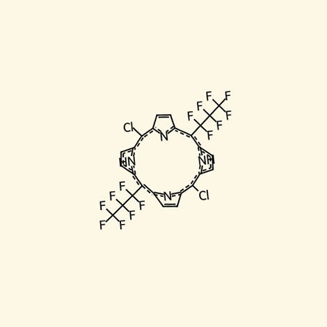 FC(F)(F)C(F)(F)C(F)(F)c1c2nc(c(Cl)c3ccc([nH]3)c(C(F)(F)C(F)(F)C(F)(F)F)c3nc(c(Cl)c4ccc1[nH]4)C=C3)C=C2